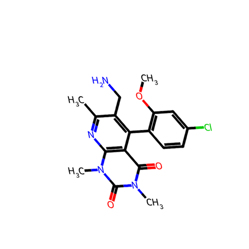 COc1cc(Cl)ccc1-c1c(CN)c(C)nc2c1c(=O)n(C)c(=O)n2C